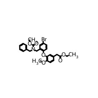 CCOC(=O)Cc1ccc(OC)c(Oc2ccc(Br)cc2CN(Cc2ccccc2)C(=O)OC)c1